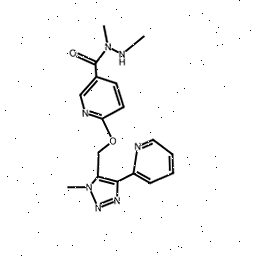 CNN(C)C(=O)c1ccc(OCc2c(-c3ccccn3)nnn2C)nc1